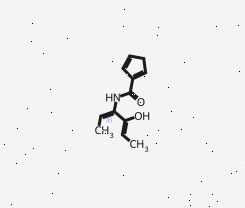 CC=C(O)/C(=C\C)NC(=O)C1=CCC=C1